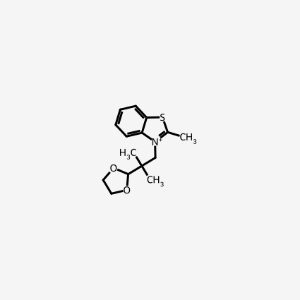 Cc1sc2ccccc2[n+]1CC(C)(C)C1OCCO1